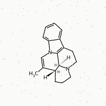 CC1=Cn2c3c(c4ccccc42)CCN2CCC[C@H]1[C@@H]32